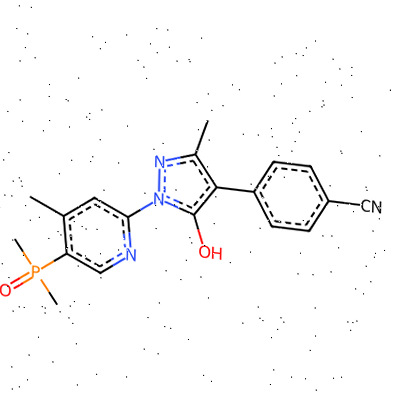 Cc1cc(-n2nc(C)c(-c3ccc(C#N)cc3)c2O)ncc1P(C)(C)=O